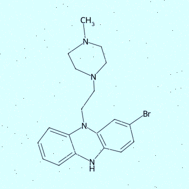 CN1CCN(CCN2c3ccccc3Nc3ccc(Br)cc32)CC1